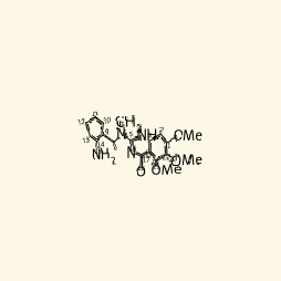 COc1cc2[nH]c(N(C)Cc3ccccc3N)nc(=O)c2c(OC)c1OC